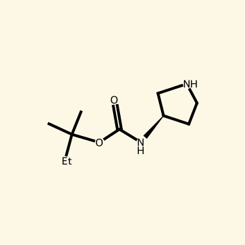 CCC(C)(C)OC(=O)N[C@@H]1CCNC1